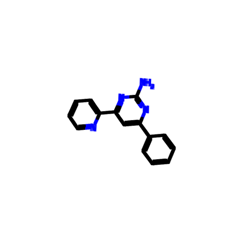 Nc1nc(-c2ccccc2)cc(-c2ccccn2)n1